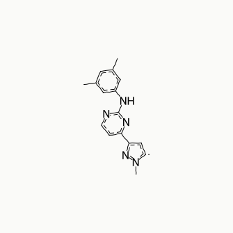 Cc1cc(C)cc(Nc2nccc(-c3c[c]n(C)n3)n2)c1